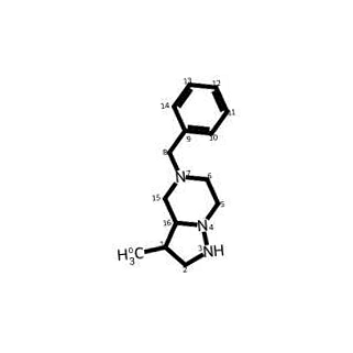 CC1CNN2CCN(Cc3ccccc3)C[C]12